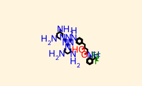 NC1CC(N)CN(c2nc(Nc3ccc(CC(O)CC(=O)Nc4ccccc4C(F)(F)F)cc3)nc(N3CC(N)CC(N)C3)n2)C1